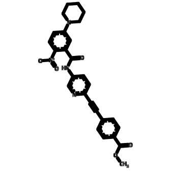 COC(=O)c1ccc(C#Cc2ccc(NC(=O)c3cc(N4CCCCC4)ccc3[N+](=O)[O-])cn2)cc1